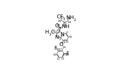 Cc1nc2c(OCc3c(F)cccc3F)cccn2c1C(=O)NC(CN)CC(F)(F)F